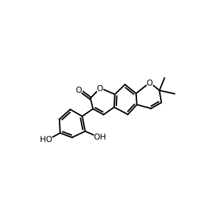 CC1(C)C=Cc2cc3cc(-c4ccc(O)cc4O)c(=O)oc3cc2O1